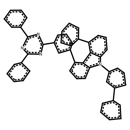 c1ccc(-c2cccc(-n3c4cccc(-c5ccccc5)c4c4c(-c5cccc(-c6nc(-c7ccccc7)nc(-c7ccccc7)n6)c5)cccc43)c2)cc1